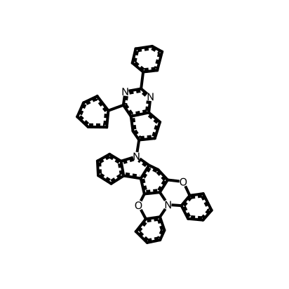 c1ccc(-c2nc(-c3ccccc3)c3cc(-n4c5ccccc5c5c6c7c(cc54)Oc4ccccc4N7c4ccccc4O6)ccc3n2)cc1